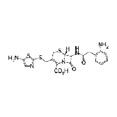 Nc1cnc(SCC2=C(C(=O)O)N3C(=O)C(NC(=O)Cc4ccccc4N)[C@H]3SC2)s1